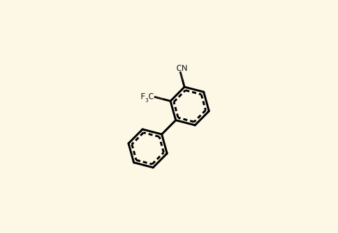 N#Cc1cccc(-c2ccccc2)c1C(F)(F)F